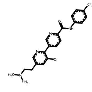 CN(C)CCc1cnc(-c2ccc(C(=O)Nc3ccc(C(F)(F)F)cc3)nc2)c(Cl)c1